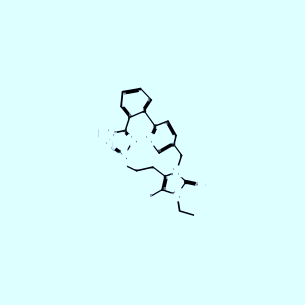 CCCc1c(Cl)n(CC)c(=O)n1Cc1ccc(-c2ccccc2-c2nnn[nH]2)nc1